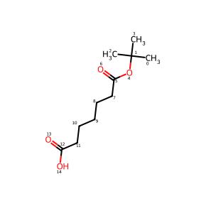 CC(C)(C)OC(=O)CCCCCC(=O)O